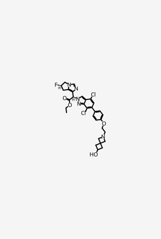 CCOC(=O)[C@@H](c1ncn2c1C[C@@H](F)C2)n1cc2c(Cl)cc(-c3ccc(OCCN4CC5(CC(O)C5)C4)cc3)c(Cl)c2n1